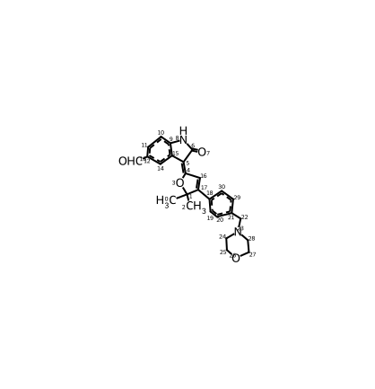 CC1(C)O/C(=C2/C(=O)Nc3ccc(C=O)cc32)C=C1c1ccc(CN2CCOCC2)cc1